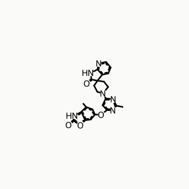 Cc1nc(Oc2cc(C)c3[nH]c(=O)oc3c2)cc(N2CCC3(CC2)C(=O)Nc2ncccc23)n1